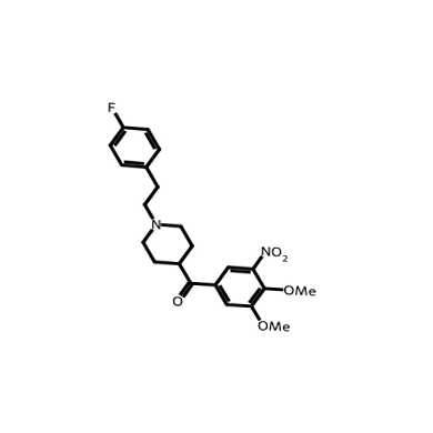 COc1cc(C(=O)C2CCN(CCc3ccc(F)cc3)CC2)cc([N+](=O)[O-])c1OC